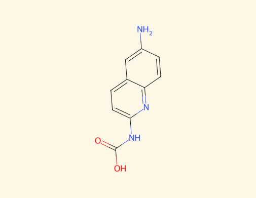 Nc1ccc2nc(NC(=O)O)ccc2c1